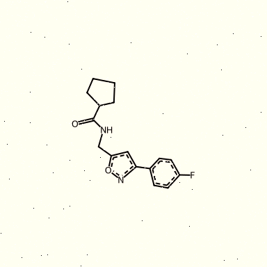 O=C(NCc1cc(-c2ccc(F)cc2)no1)C1CCCC1